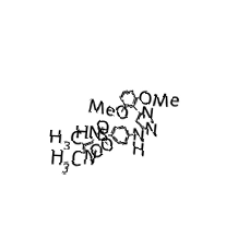 COc1cccc(OC)c1-c1cc(Nc2ccc(S(=O)(=O)Nc3onc(C)c3C)cc2)ncn1